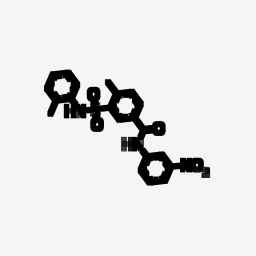 Cc1ccccc1NS(=O)(=O)c1cc(C(=O)Nc2cccc([N+](=O)[O-])c2)ccc1C